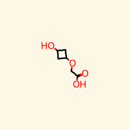 O=C(O)COC1CC(O)C1